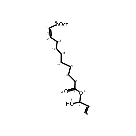 C=CC(O)OC(=O)CCCCCCC/C=C\CCCCCCCC